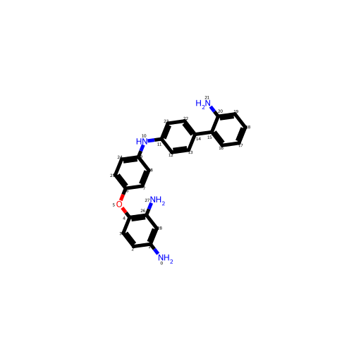 Nc1ccc(Oc2ccc(Nc3ccc(-c4ccccc4N)cc3)cc2)c(N)c1